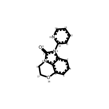 O=c1n2c3c(cccc3n1-c1ccccn1)OCC2